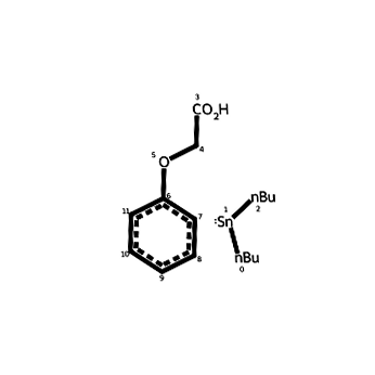 CCC[CH2][Sn][CH2]CCC.O=C(O)COc1ccccc1